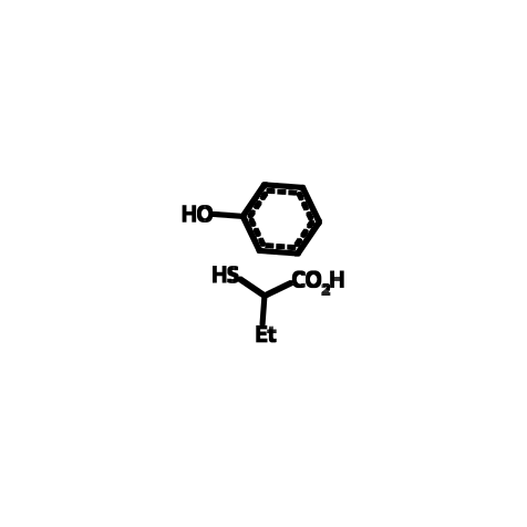 CCC(S)C(=O)O.Oc1ccccc1